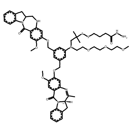 COCCOCCOCCN(CC(C)(C)SSCCCC(=O)NN)c1cc(COc2cc3c(cc2OC)C(=O)N2c4ccccc4C[C@H]2C(C)=N3)cc(COc2cc3c(cc2OC)C(=O)N2c4ccccc4CC2CN3)c1